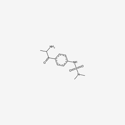 CC(N)C(=O)c1ccc(NS(=O)(=O)N(C)C)cc1